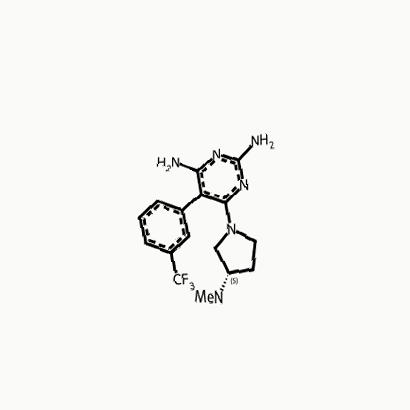 CN[C@H]1CCN(c2nc(N)nc(N)c2-c2cccc(C(F)(F)F)c2)C1